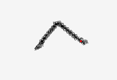 O.O=P([O-])([O-])[O-].O=P([O-])([O-])[O-].O=P([O-])([O-])[O-].O=P([O-])([O-])[O-].O=P([O-])([O-])[O-].O=P([O-])([O-])[O-].O=P([O-])([O-])[O-].O=P([O-])([O-])[O-].O=P([O-])([O-])[O-].O=P([O-])([O-])[O-].O=P([O-])([O-])[O-].O=P([O-])([O-])[O-].O=P([O-])([O-])[O-].O=P([O-])([O-])[O-].[Al+3].[Al+3].[Al+3].[Cr+3].[Cr+3].[Cr+3].[Fe+3].[Fe+3].[Fe+3].[Mn+2].[Mn+2].[Mn+2].[Na+].[Na+].[Na+].[Sr+2].[Sr+2].[Sr+2]